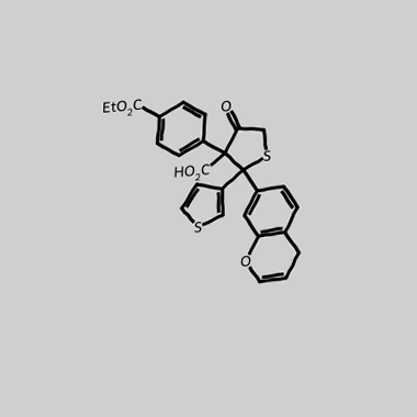 CCOC(=O)c1ccc(C2(C(=O)O)C(=O)CSC2(c2ccsc2)c2ccc3c(c2)OC=CC3)cc1